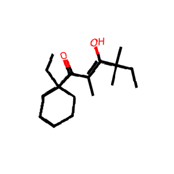 CCC1(C(=O)/C(C)=C(\O)C(C)(C)CC)CCCCC1